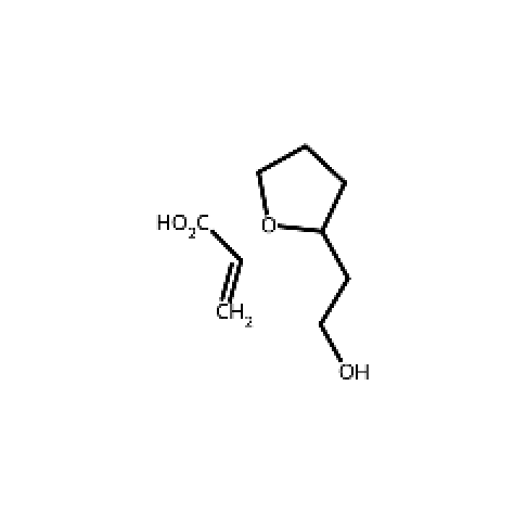 C=CC(=O)O.OCCC1CCCO1